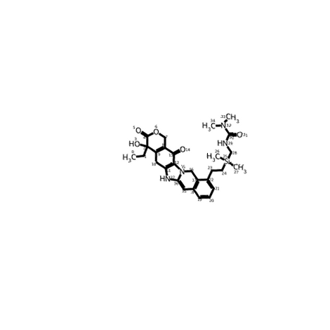 CCC1(O)C(=O)OCC2=C1CC1=C(C2=O)N2Cc3c(cccc3CC[Si](C)(C)CNC(=O)N(C)C)C=C2N1